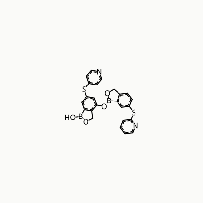 OB1OCc2c(OB3OCc4ccc(Sc5ccccn5)cc43)cc(Sc3ccncc3)cc21